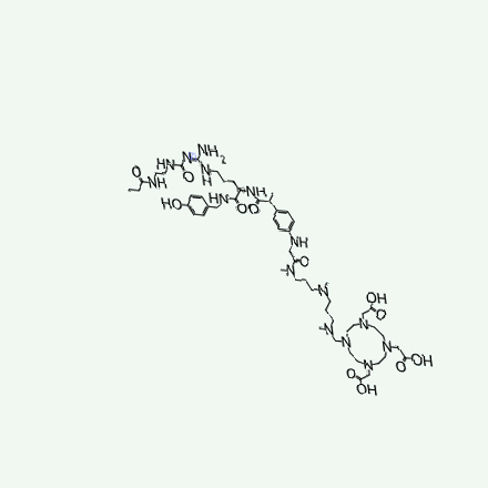 CCC(=O)NCCNC(=O)/N=C(/N)NCCC[C@@H](NC(=O)C(C)c1ccc(NCC(=O)N(C)CCCN(C)CCCN(C)CN2CCN(CC(=O)O)CCN(CC(=O)O)CCN(CC(=O)O)CC2)cc1)C(=O)NCc1ccc(O)cc1